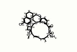 CO[C@H]1/C=C/C[C@H](C)C[S@](N)(=O)=NC(=O)c2ccc3c(n2)N(C[C@@H]2CC[C@H]21)C[C@@]1(CCCc2cc(Cl)ccc21)CO3